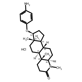 CN1C(=O)CC[C@]2(C)[C@H]3CC[C@]4(C)[C@@H](Oc5ccc(N)cc5)CC[C@H]4[C@@H]3CC[C@@H]12.Cl